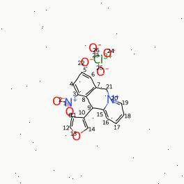 O=[N+]([O-])c1cccc2c1C(c1ccoc1)c1cccc[n+]1C2.[O-][Cl+3]([O-])([O-])[O-]